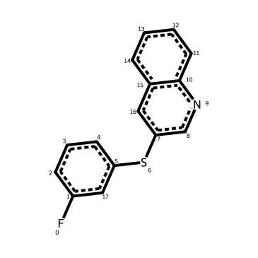 Fc1cccc(Sc2cnc3ccccc3c2)c1